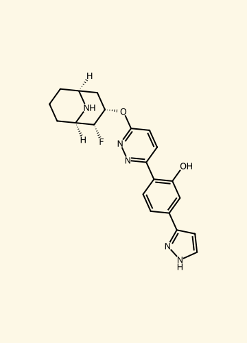 Oc1cc(-c2cc[nH]n2)ccc1-c1ccc(O[C@H]2C[C@@H]3CCC[C@@H](N3)[C@H]2F)nn1